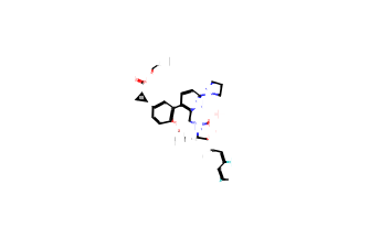 C=C(/C=C(F)\C=C(/C)F)[C@H]1OC(O)N(Cc2nc(N3CCC3)ccc2-c2cc([C@H]3C[C@@H]3C(=O)OCC)ccc2OC)[C@H]1C